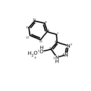 O.Oc1[nH]nnc1Cc1ccccc1